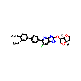 COc1ccc(-c2ccc(-c3nc4nc(OC5CO[C@@H]6CCO[C@H]56)[nH]c4cc3Cl)cc2)cc1OC